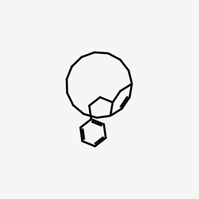 C1=CC2CCCCCCCCCCCC1CC2CCc1ccccc1